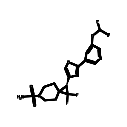 NS(=O)(=O)N1CCC2(CC1)[C@H](c1coc(-c3cncc(OC(F)F)c3)n1)C2(F)F